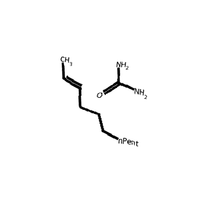 CC=CCCCCCCCC.NC(N)=O